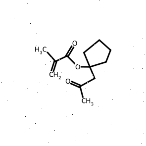 C=C(C)C(=O)OC1(CC(C)=O)CCCC1